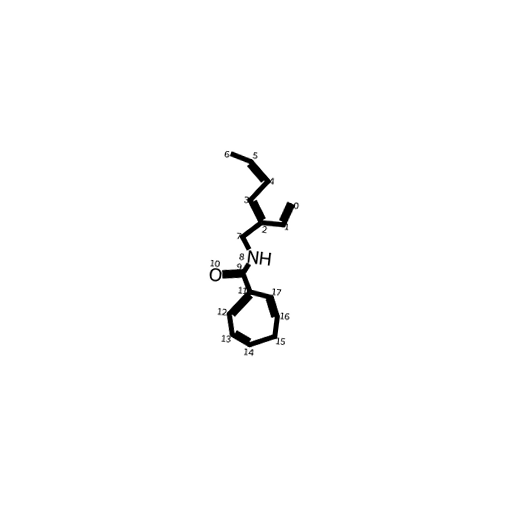 C=C/C(=C\C=C/C)CNC(=O)C1=CC=CCC=C1